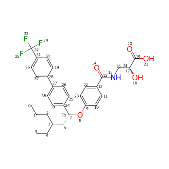 CCCC(CC)C[C@@H](Oc1ccc(C(=O)NC[C@H](O)C(=O)O)cc1)c1ccc(-c2ccc(C(F)(F)F)cc2)cc1